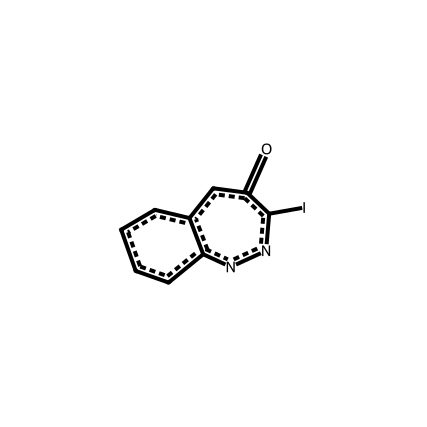 O=c1cc2ccccc2nnc1I